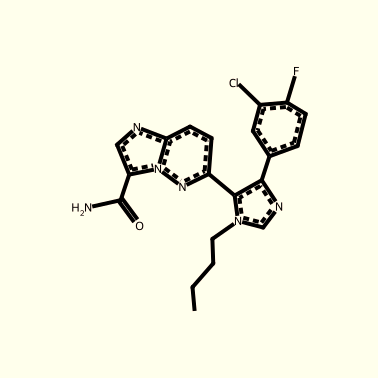 CCCCn1cnc(-c2ccc(F)c(Cl)c2)c1-c1ccc2ncc(C(N)=O)n2n1